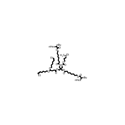 CC/C=C\CCCCOC(CCC(=O)OCC(COC(=O)CCCCCCCOC(=O)C(CCCC)CCCCCC)(COC(=O)CCCCCCCOC(=O)C(CCCC)CCCCCC)COC(=O)OCCCN(C)CC)OCCCC/C=C\CC